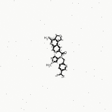 Cn1cc(N(Cc2ccc(C(F)F)cn2)C(=O)c2cc3c4c(c(N)nc3cn2)COC4)cn1